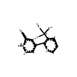 O=c1cc(-c2ncccc2C(F)(F)F)cn[nH]1